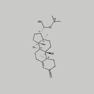 C[SiH](C)OC([C@H]1CC[C@H]2[C@@H]3CCC4=CC(=O)CC[C@]4(C)[C@H]3CC[C@]12C)C(C)(C)C